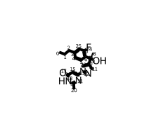 CCCc1ccc([C@](C)(O)c2cnn(-c3cc(=O)[nH]c(C)n3)c2)c(F)c1